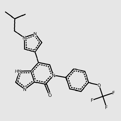 CC(C)Cn1cc(-c2cn(-c3ccc(OC(F)(F)F)cc3)c(=O)c3nc[nH]c23)cn1